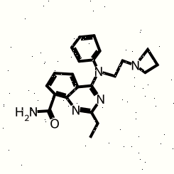 CCc1nc(N(CCN2CCC2)c2ccccc2)c2cccc(C(N)=O)c2n1